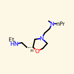 CCCN(C)CCN1CCO[C@H](CCNCC)C1